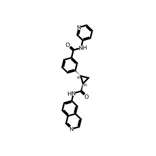 O=C(Nc1cccnc1)c1cccc([C@@H]2C[C@H]2C(=O)Nc2ccc3cnccc3c2)c1